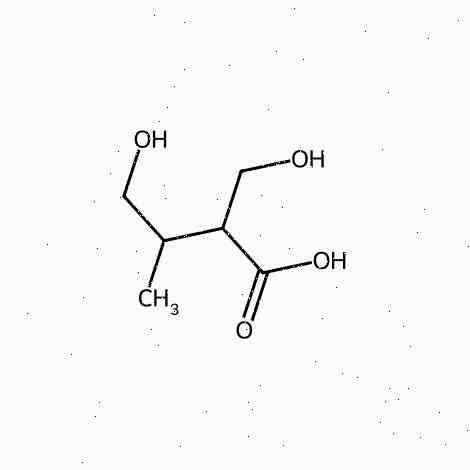 CC(CO)C(CO)C(=O)O